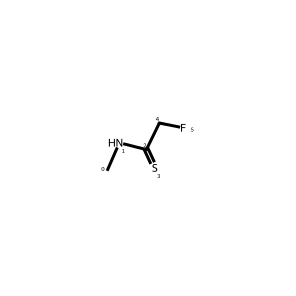 CNC(=S)CF